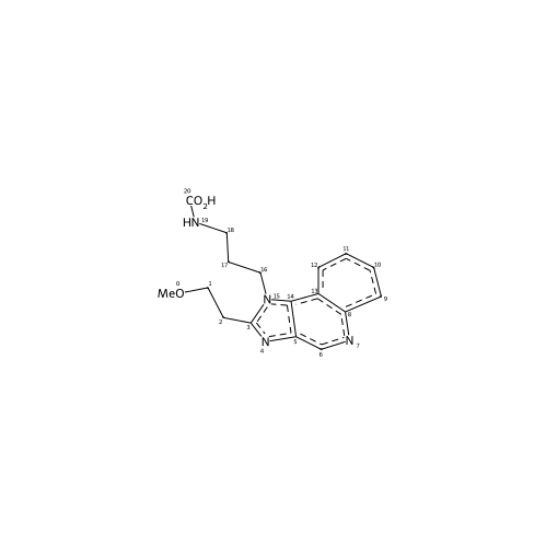 COCCc1nc2cnc3ccccc3c2n1CCCNC(=O)O